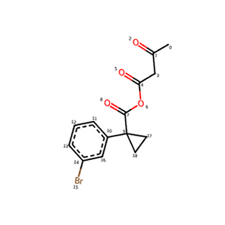 CC(=O)CC(=O)OC(=O)C1(c2cccc(Br)c2)CC1